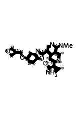 CNc1ncc(-c2nc3cc(OCC4COC4)ccc3o2)c2cc(C3(C(N)=O)CC3)ncc12